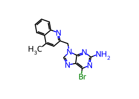 Cc1cc(Cn2cnc3c(Br)nc(N)nc32)nc2ccccc12